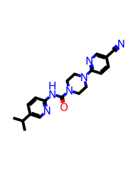 CC(C)c1ccc(NC(=O)N2CCN(c3ccc(C#N)cn3)CC2)nc1